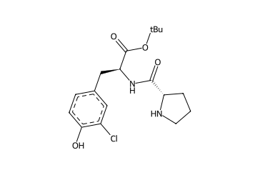 CC(C)(C)OC(=O)[C@H](Cc1ccc(O)c(Cl)c1)NC(=O)[C@@H]1CCCN1